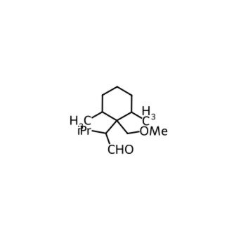 COCC1(C(C=O)C(C)C)C(C)CCCC1C